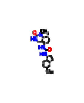 CN1C(=O)NCc2c(NC(=O)N[C@@H]3CCc4cc(C(C)(C)C)ccc43)cccc21